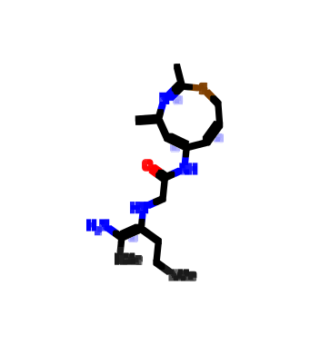 C=C1/C=C(NC(=O)CN/C(CCNC)=C(\N)NC)\C=C/CS/C(C)=N\1